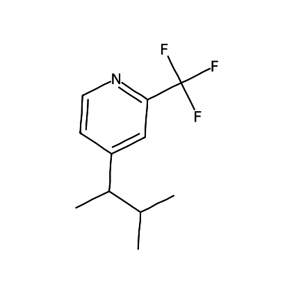 CC(C)C(C)c1ccnc(C(F)(F)F)c1